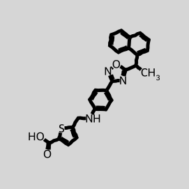 CC(c1nc(-c2ccc(NCc3ccc(C(=O)O)s3)cc2)no1)c1cccc2ccccc12